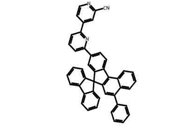 N#Cc1cc(-c2cccc(-c3ccc4c(c3)C3(c5ccccc5-c5ccccc53)c3cc(-c5ccccc5)c5ccccc5c3-4)n2)ccn1